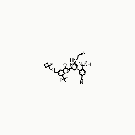 CNC(=N)c1ccc(C#N)cc1-c1cc(NCCC#N)nc(N2Cc3c(cc(COCC4(F)CCC4)cc3C(C)(F)F)C2=O)c1